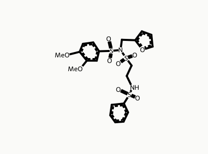 COc1ccc(S(=O)(=O)N(Cc2ccco2)S(=O)(=O)CCNS(=O)(=O)c2ccccc2)cc1OC